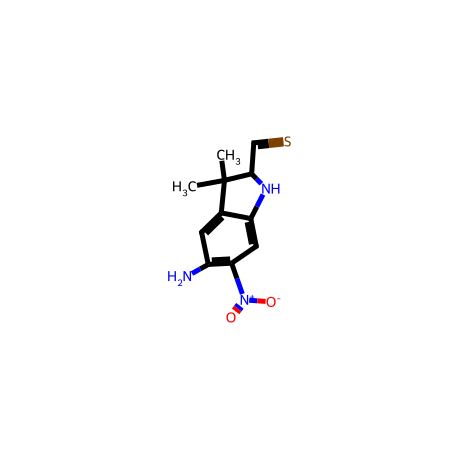 CC1(C)c2cc(N)c([N+](=O)[O-])cc2NC1C=S